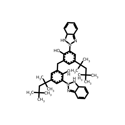 CC(C)(C)CC(C)(C)c1cc(Cc2cc(C(C)(C)CC(C)(C)C)cc(N3N=C4C=CC=CC4N3)c2O)c(O)c(N2N=C3C=CC=CC3N2)c1